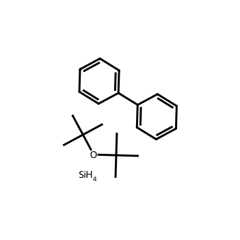 CC(C)(C)OC(C)(C)C.[SiH4].c1ccc(-c2ccccc2)cc1